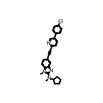 CN(c1nc2cc(C#Cc3ccc(-c4ccc(Cl)cc4)cn3)ccc2n1C)C1CCCC1